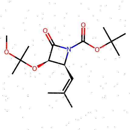 COC(C)(C)O[C@H]1C(=O)N(C(=O)OC(C)(C)C)[C@H]1C=C(C)C